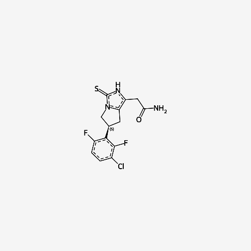 NC(=O)Cc1[nH]c(=S)n2c1C[C@@H](c1c(F)ccc(Cl)c1F)C2